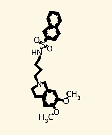 COc1cc2c(cc1OC)CN(CCCCNS(=O)(=O)c1ccc3ccccc3c1)CC2